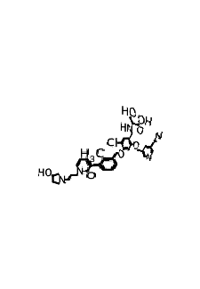 Cc1c(COc2cc(OCc3cncc(C#N)c3)c(CNC(CO)C(=O)O)cc2Cl)cccc1-c1cccn(CCCN2CCC(O)C2)c1=O